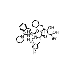 CC(C)C(O)CC(O)[C@H](CC1CCCCC1)NC(=O)[C@H](Cc1c[nH]cn1)N(C)C(=O)[C@H](Cc1ccccc1)NC(=O)N1CCCCC1